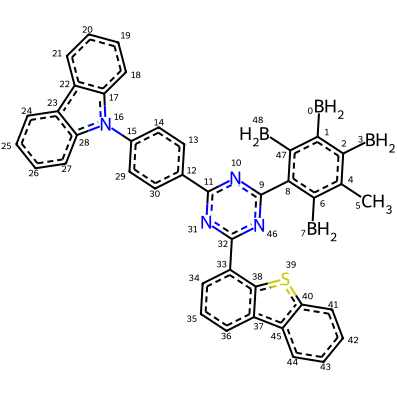 Bc1c(B)c(C)c(B)c(-c2nc(-c3ccc(-n4c5ccccc5c5ccccc54)cc3)nc(-c3cccc4c3sc3ccccc34)n2)c1B